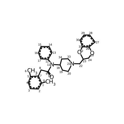 Cc1cccc(C)c1CC(=O)N(c1ccccc1)C1CCN(CC2COc3ccccc3O2)CC1